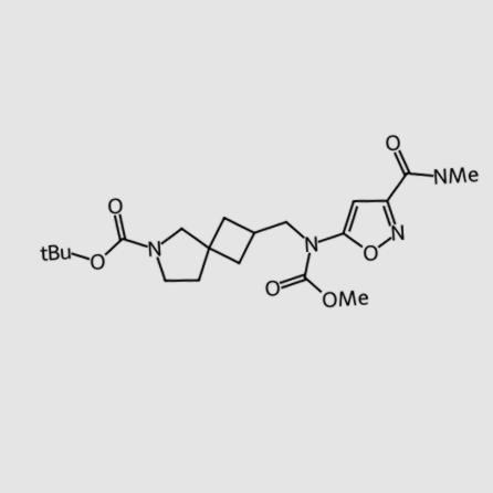 CNC(=O)c1cc(N(CC2CC3(CCN(C(=O)OC(C)(C)C)C3)C2)C(=O)OC)on1